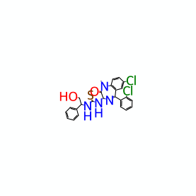 CN1C(=O)C(NC(=S)NC(CO)c2ccccc2)N=C(c2ccccc2Cl)c2cc(Cl)ccc21